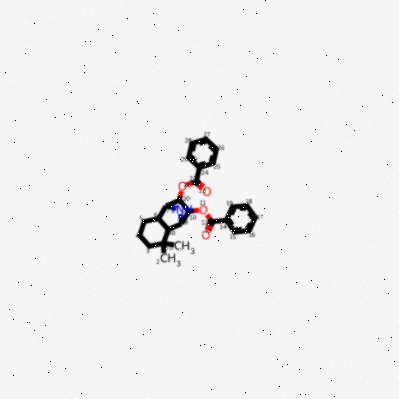 CC1(C)CCCC2C3NC(C(OC(=O)c4ccccc4)C3OC(=O)c3ccccc3)C21